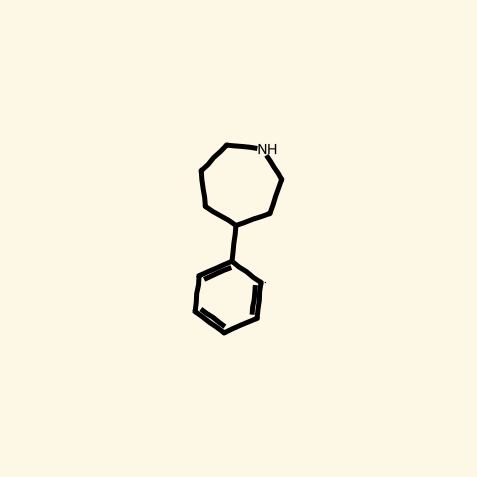 [c]1ccccc1C1CCCNCC1